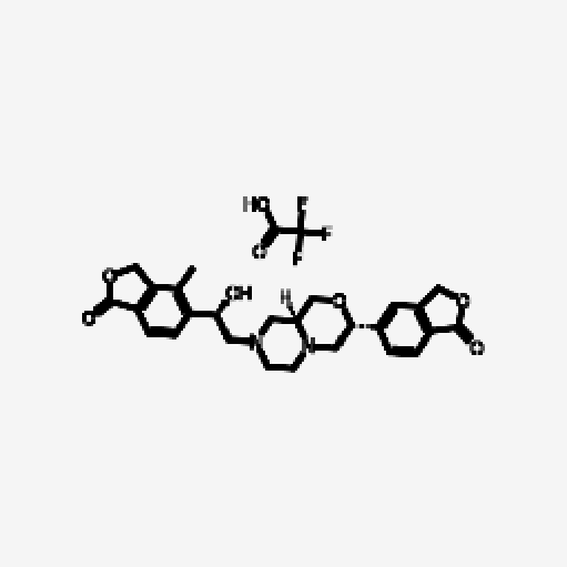 Cc1c([C@@H](O)CN2CCN3C[C@@H](c4ccc5c(c4)COC5=O)OC[C@@H]3C2)ccc2c1COC2=O.O=C(O)C(F)(F)F